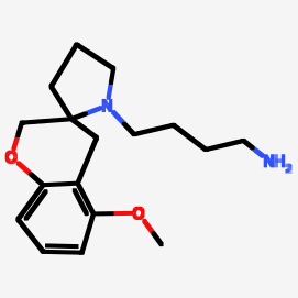 COc1cccc2c1CC1(CCCN1CCCCN)CO2